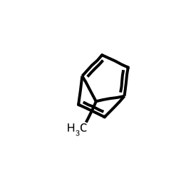 CC1C2=CC=C1C=C2